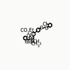 CCOC(=O)C1=C(c2ccc(OCCOc3ccccc3Cl)cc2)CC(CO[Si](C)(C)C(C)(C)C)N(C(=O)OCc2ccccc2)C1